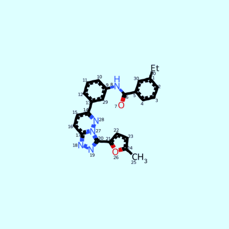 CCc1cccc(C(=O)Nc2cccc(-c3ccc4nnc(-c5ccc(C)o5)n4n3)c2)c1